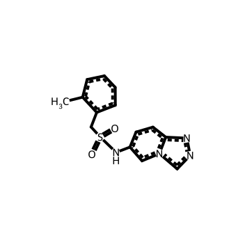 Cc1ccccc1CS(=O)(=O)Nc1ccc2nncn2c1